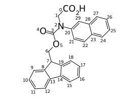 O=C(O)CN(C(=O)OCC1c2ccccc2-c2ccccc21)c1ccc2ccccc2c1